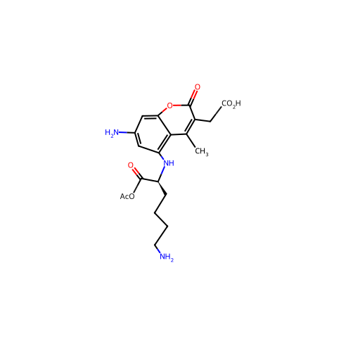 CC(=O)OC(=O)[C@H](CCCCN)Nc1cc(N)cc2oc(=O)c(CC(=O)O)c(C)c12